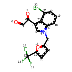 O=CC(=O)c1cn(Cc2ccc(C(F)(F)F)o2)c2cccc(Br)c12